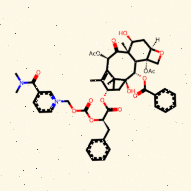 CC(=O)O[C@H]1C(=O)[C@@]2(C)C([C@H](OC(=O)c3ccccc3)[C@]3(O)C[C@H](OC(=O)[C@@H](Cc4ccccc4)OC(=O)OC[n+]4cccc(C(=O)N(C)C)c4)C(C)=C1C3(C)C)[C@]1(OC(C)=O)CO[C@@H]1C[C@@H]2O